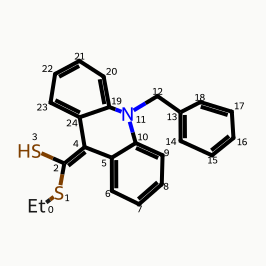 CCSC(S)=C1c2ccccc2N(Cc2ccccc2)c2ccccc21